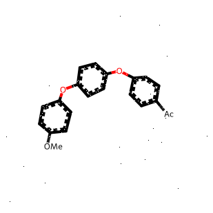 COc1ccc(Oc2ccc(Oc3ccc(C(C)=O)cc3)cc2)cc1